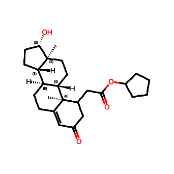 C[C@]12CC[C@H]3[C@@H](CCC4=CC(=O)CC(CC(=O)OC5CCCC5)[C@@]43C)[C@@H]1CC[C@@H]2O